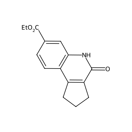 CCOC(=O)c1ccc2c3c(c(=O)[nH]c2c1)CCC3